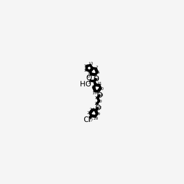 O=C(O)C(Oc1ccc2c(c1)CCC2)c1ccc(OCCCOc2ccc(Cl)cc2)cc1